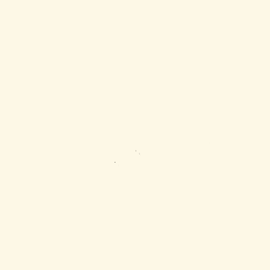 O=S(=O)(c1ccc(CS)cc1)N1CCCC(c2ccc(Cl)c(Cl)c2)=N1